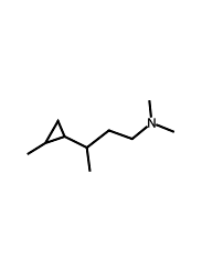 CC(CCN(C)C)C1CC1C